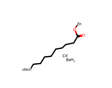 CCCCCCCCCCCCCCCCCC(=O)[O][Zn].[BaH2].[Cd]